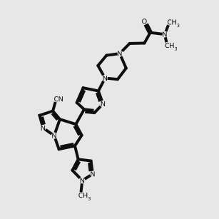 CN(C)C(=O)CCN1CCN(c2ccc(-c3cc(-c4cnn(C)c4)cn4ncc(C#N)c34)cn2)CC1